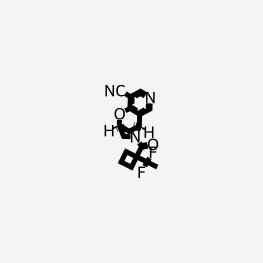 CC(F)(F)C1(C(=O)N2C[C@@H]3C[C@H]2c2cncc(C#N)c2O3)CCC1